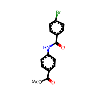 COC(=O)c1ccc(NC(=O)c2ccc(Br)cc2)cc1